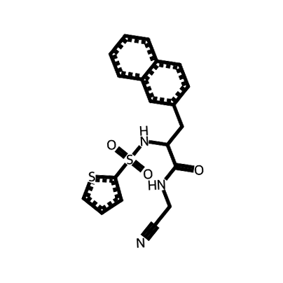 N#CCNC(=O)C(Cc1ccc2ccccc2c1)NS(=O)(=O)c1cccs1